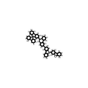 c1ccc(C2(c3ccccc3)c3ccccc3-c3ccc(C4Cc5ccc(-c6ccc7c(c6)c6ccccc6n7-c6ccc7c(c6)oc6ccccc67)cc5-c5ccccc54)cc32)cc1